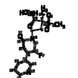 CC(CCn1cc(F)c(-c2cccnc2)cc1=O)(C(=O)NO)S(C)(=O)=O